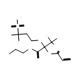 C=CC(=O)OC(OCCC(F)(F)S(=O)(=O)O)(C(=O)OCCC)C(F)(F)F